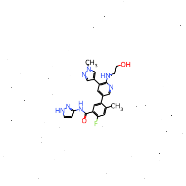 Cc1cc(F)c(C(=O)Nc2cc[nH]n2)cc1-c1cnc(NCCO)c(-c2cnn(C)c2)c1